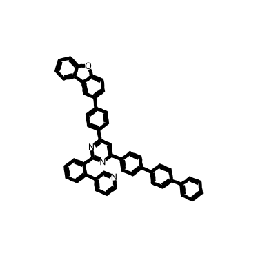 c1ccc(-c2ccc(-c3ccc(-c4cc(-c5ccc(-c6ccc7oc8ccccc8c7c6)cc5)nc(-c5ccccc5-c5cccnc5)n4)cc3)cc2)cc1